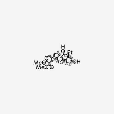 CC[C@H]1[C@@H](O)C2C3CCC([C@H](C)CC(C(=O)OC)C(=O)OC)[C@@]3(C)CCC2[C@@]2(C)CC[C@@H](O)C[C@@H]12